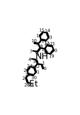 C=C/C(=C(/C)N/C(C)=C(/C(=C)c1ccccc1)c1ccccc1)c1ccc(/C=C\CC)cc1